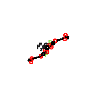 C=CC(=O)OCCCCCCOc1ccc(C(=O)Oc2ccc(OC(=O)c3ccc(OCCCCCCOC(=O)C(=C)C)cc3F)c(C(F)(F)F)c2C(F)(F)F)c(F)c1